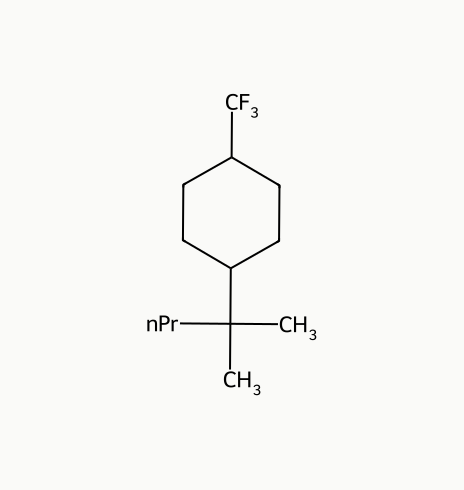 CCCC(C)(C)C1CCC(C(F)(F)F)CC1